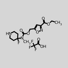 CCOC(=O)c1cc(COC(=O)N(C)C2(F)CCNCC2)on1.O=C(O)C(F)(F)F